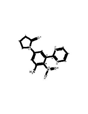 Nc1cc(N2CCCC2=O)cc(-c2ncccn2)c1[N+](=O)[O-]